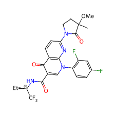 CC[C@@H](NC(=O)c1cn(-c2ccc(F)cc2F)c2nc(N3CCC(C)(OC)C3=O)ccc2c1=O)C(F)(F)F